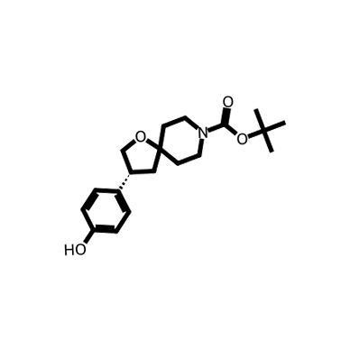 CC(C)(C)OC(=O)N1CCC2(CC1)C[C@H](c1ccc(O)cc1)CO2